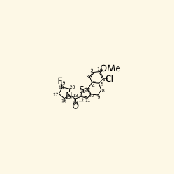 COc1ccc2c(c1Cl)CCc1cc(C(=O)N3CCC(F)C3)sc1-2